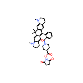 CN1CCCc2cc3c(cc21)C(C)(C)c1cc2c(cc1=C3c1ccccc1C(=O)N1CCC(C(=O)ON3C(=O)CCC3=O)CC1)CCC[N+]=2C